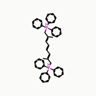 C\C(=C/C=C/C=C(\C)C[PH](c1ccccc1)(c1ccccc1)c1ccccc1)C[PH](c1ccccc1)(c1ccccc1)c1ccccc1